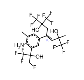 Cc1cc(/C(=C/C(C)(O)C(F)(F)F)CC(O)(C(F)(F)F)C(F)(F)F)cc(C(O)(CF)C(F)(F)F)c1N